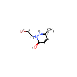 Cc1ccc(=O)n(CCBr)n1